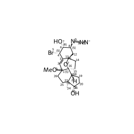 CO[C@@]12C=C3[C@H](Br)[C@H](O)[C@@H](N=[N+]=[N-])C[C@]34CC[C@]1(O4)[C@@H]1CC[C@H](O)[C@@]1(C)CC2